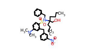 CCCCC(CO)(CCCC)N(Cc1ccccc1)S(=O)(=O)c1ccc(N(C)C)cc1Cc1cccc([N+](=O)[O-])c1